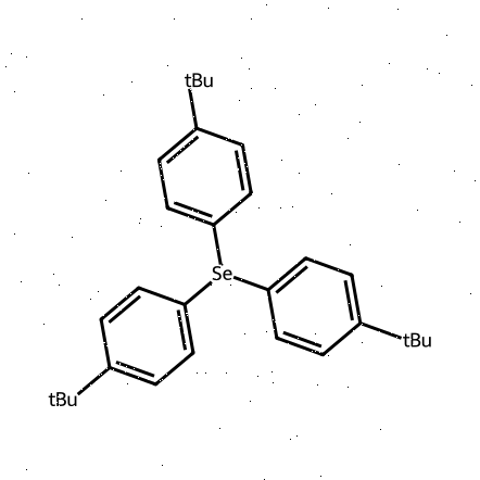 CC(C)(C)c1ccc([Se](c2ccc(C(C)(C)C)cc2)c2ccc(C(C)(C)C)cc2)cc1